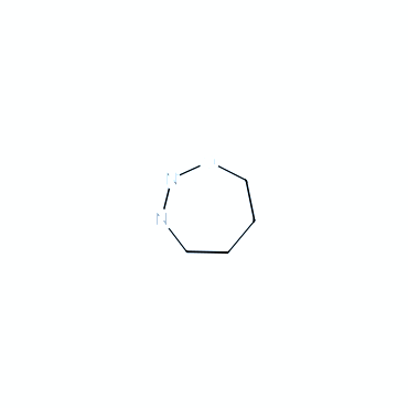 C1CCO[N][N]C1